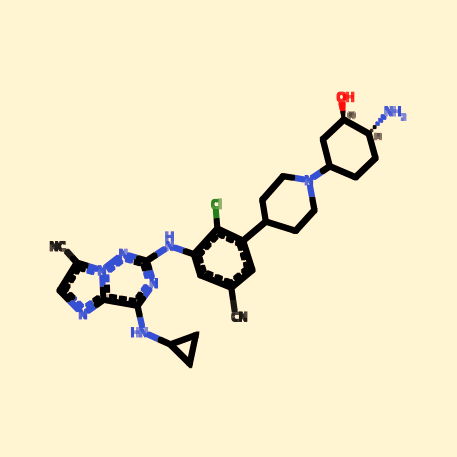 N#Cc1cc(Nc2nc(NC3CC3)c3ncc(C#N)n3n2)c(Cl)c(C2CCN(C3CC[C@@H](N)[C@H](O)C3)CC2)c1